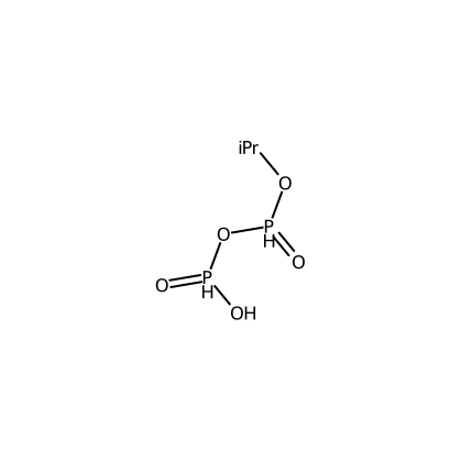 CC(C)O[PH](=O)O[PH](=O)O